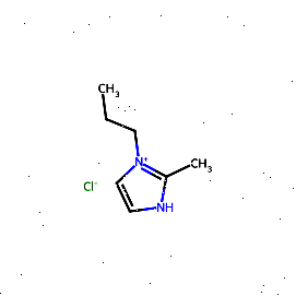 CCC[n+]1cc[nH]c1C.[Cl-]